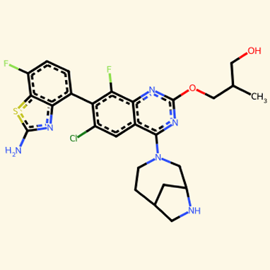 CC(CO)COc1nc(N2CCC3CNC(C3)C2)c2cc(Cl)c(-c3ccc(F)c4sc(N)nc34)c(F)c2n1